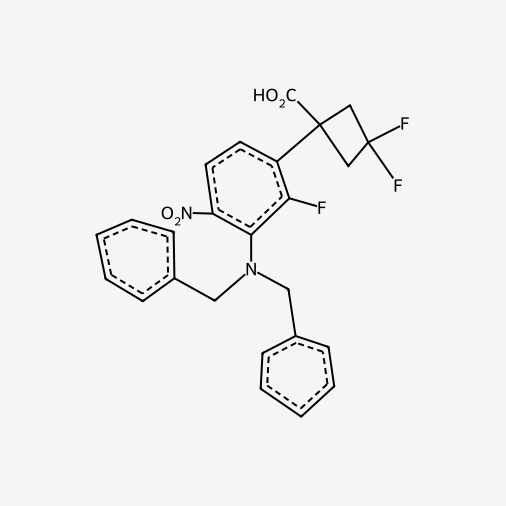 O=C(O)C1(c2ccc([N+](=O)[O-])c(N(Cc3ccccc3)Cc3ccccc3)c2F)CC(F)(F)C1